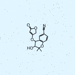 CC1(C)Oc2ccc(C#N)cc2C(OC2=CC(=O)OC2)C1O